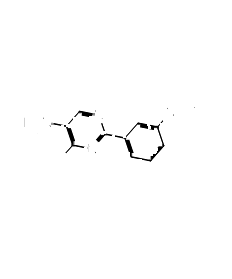 CC(=O)Nc1cccc(-c2ncc(N)c(C(=O)O)n2)c1